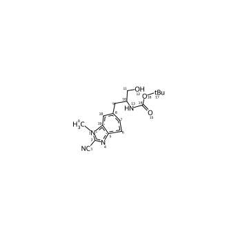 Cn1c(C#N)nc2ccc(CC(CO)NC(=O)OC(C)(C)C)cc21